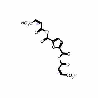 O=C(O)/C=C\C(=O)OC(=O)c1ccc(C(=O)OC(=O)/C=C\C(=O)O)o1